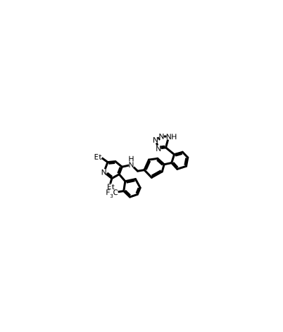 CCc1cc(NCc2ccc(-c3ccccc3-c3nnn[nH]3)cc2)c(-c2ccccc2C(F)(F)F)c(CC)n1